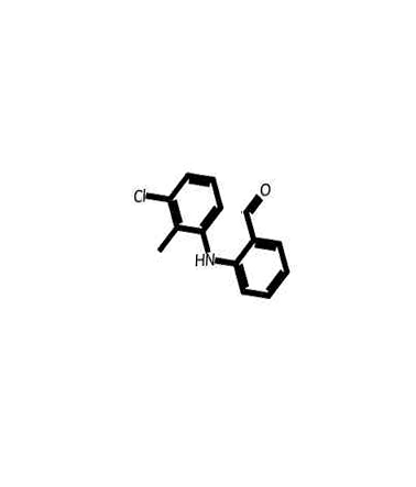 Cc1c(Cl)cccc1Nc1ccccc1[C]=O